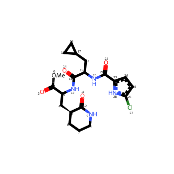 COC(=O)C(C[C@@H]1CCCNC1=O)NC(=O)C(CC1CC1)NC(=O)c1ccc(Cl)[nH]1